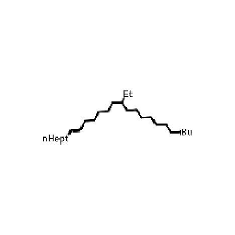 [CH2]CCCCCCC=CCCCCCC(CC)CCCCCCCC(C)C[CH2]